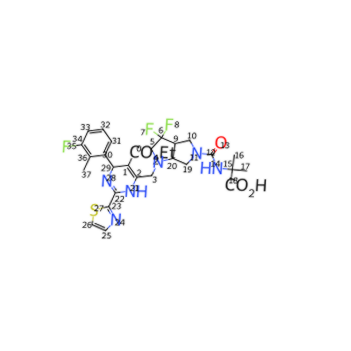 CCOC(=O)C1=C(CN2CC(F)(F)C3CN(C(=O)NC(C)(C)C(=O)O)CC32)NC(c2nccs2)=NC1c1cccc(F)c1C